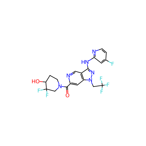 O=C(c1cc2c(cn1)c(Nc1cc(F)ccn1)nn2CC(F)(F)F)N1CCC(O)C(F)(F)C1